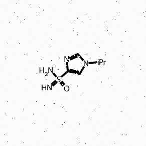 CC(C)n1cnc(S(=N)(N)=O)c1